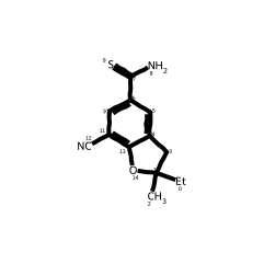 CCC1(C)Cc2cc(C(N)=S)cc(C#N)c2O1